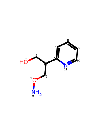 NOCC(CO)c1ccccn1